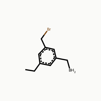 BCc1cc(CC)cc(CBr)c1